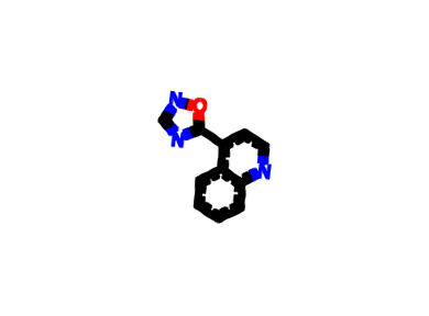 c1ccc2c(-c3ncno3)ccnc2c1